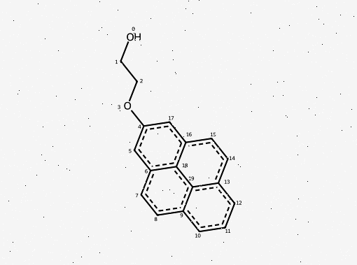 OCCOc1cc2ccc3cccc4ccc(c1)c2c34